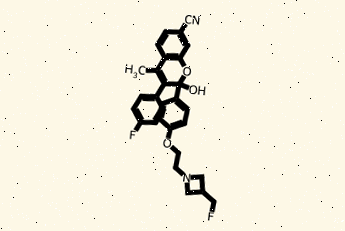 CC1=C(c2ccc(F)cc2)C(O)(c2ccc(OCCN3CC(CF)C3)cc2)Oc2cc(C#N)ccc21